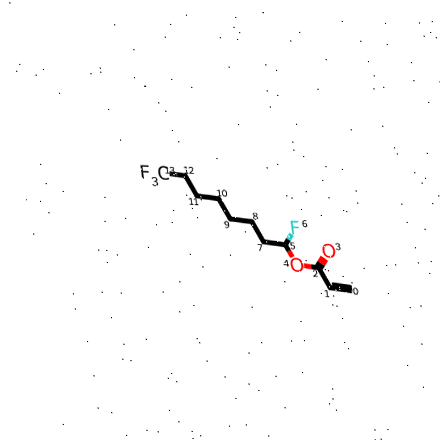 C=CC(=O)OC(F)CCCCCCC(F)(F)F